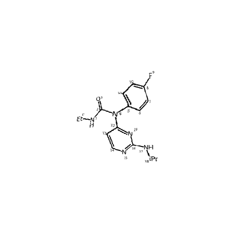 CCNC(=O)N(c1ccc(F)cc1)c1ccnc(NC(C)C)n1